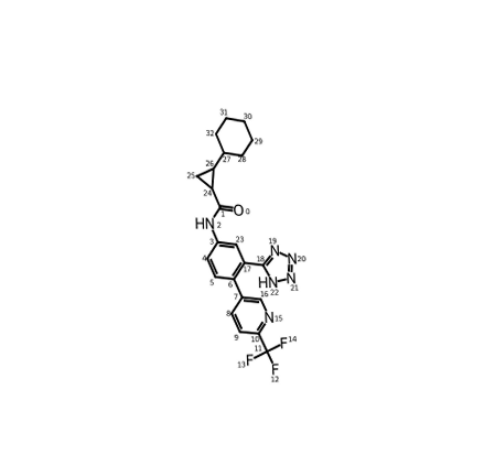 O=C(Nc1ccc(-c2ccc(C(F)(F)F)nc2)c(-c2nnn[nH]2)c1)C1CC1C1CCCCC1